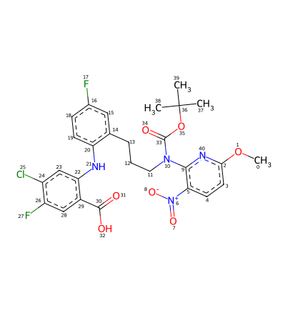 COc1ccc([N+](=O)[O-])c(N(CCCc2cc(F)ccc2Nc2cc(Cl)c(F)cc2C(=O)O)C(=O)OC(C)(C)C)n1